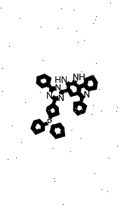 N=C1C(=N)c2c(c(-c3ccccc3)nc3ccccc23)C=C1c1nc(-c2ccccc2)nc(-c2ccc(P(c3ccccc3)c3ccccc3)cc2)n1